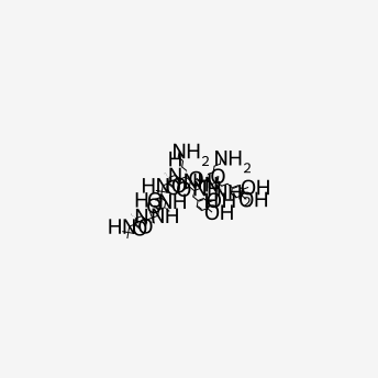 C[C@H](NC(=O)[C@H](CCCCN)NC(=O)[C@H](Cc1ccc(O)c(O)c1)NC(=O)[C@H](CCCCN)NC(=O)[C@@H](N)Cc1ccc(O)c(O)c1)C(=O)NC(C)(C)C(=O)N[C@@H](C)C(=O)NC(C)(C)C(=O)N[C@@H](C)C(=O)NC(C)(C)C